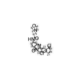 O=C(CCN1CCOCC1)Nc1ccc2c(=O)n3c(nc2c1)C(=Cc1c(Cl)cccc1Cl)CC3